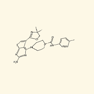 Cc1ccc(NC(=O)N2CCN(c3nc(N)nc4scc(C5=NC(C)(C)CO5)c34)CC2)cc1